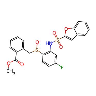 COC(=O)c1ccccc1C[S+]([O-])c1ccc(F)cc1NS(=O)(=O)c1cc2ccccc2o1